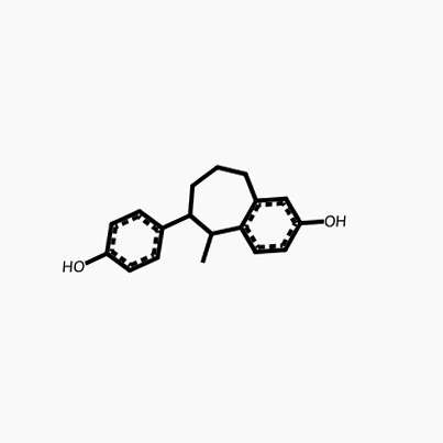 CC1c2ccc(O)cc2CCCC1c1ccc(O)cc1